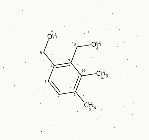 Cc1ccc(CO)c(CO)c1C